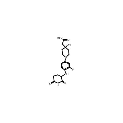 COC(=O)CC1(O)CCN(c2ccc(NC3CCC(=O)NC3=O)c(F)c2)CC1